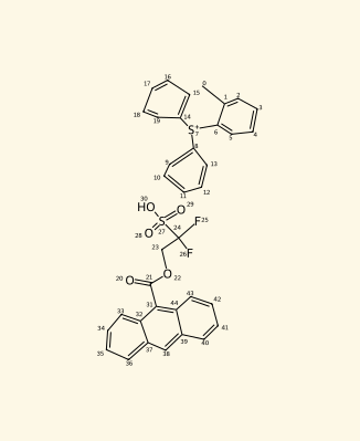 Cc1ccccc1[S+](c1ccccc1)c1ccccc1.O=C(OCC(F)(F)S(=O)(=O)O)c1c2ccccc2cc2ccccc12